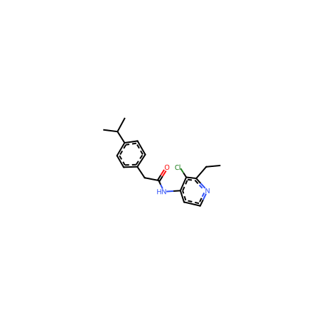 CCc1nccc(NC(=O)Cc2ccc(C(C)C)cc2)c1Cl